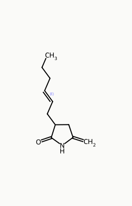 C=C1CC(C/C=C/CCC)C(=O)N1